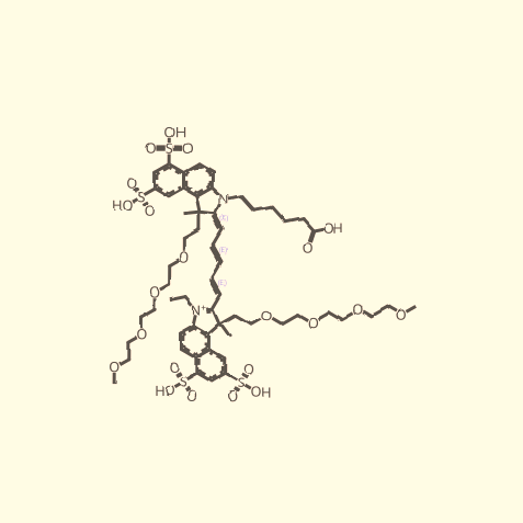 CC[N+]1=C(/C=C/C=C/C=C2/N(CCCCCC(=O)O)c3ccc4c(S(=O)(=O)O)cc(S(=O)(=O)O)cc4c3C2(C)CCOCCOCCOCCOC)C(C)(CCOCCOCCOCCOC)c2c1ccc1c(S(=O)(=O)O)cc(S(=O)(=O)O)cc21